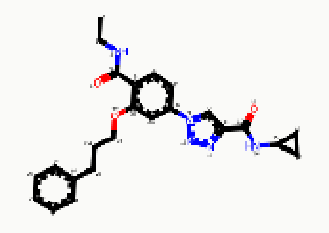 CCNC(=O)c1ccc(-n2cc(C(=O)NC3CC3)nn2)cc1OCCCc1ccccc1